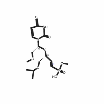 COC[C@@H](O[C@H](/C=C/P(=O)(O)OC)COC(C)C)n1ccc(=O)[nH]c1=O